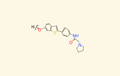 COc1ccc2cc(-c3ccc(NC(=O)CN4CCCC4)cc3)sc2c1